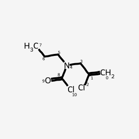 C=C(Cl)CN(CCC)C(=O)Cl